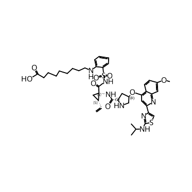 C=C[C@@H]1C[C@@]1(NC(=O)[C@@H]1C[C@@H](Oc2cc(-c3csc(NC(C)C)n3)nc3cc(OC)ccc23)CN1)C(=O)NS(=O)(=O)c1ccccc1NCCCCCCCCC(=O)O